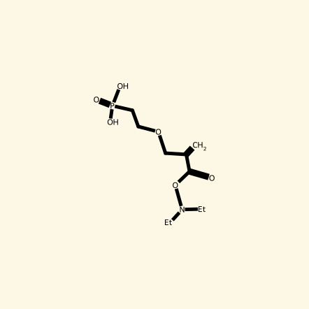 C=C(COCCP(=O)(O)O)C(=O)ON(CC)CC